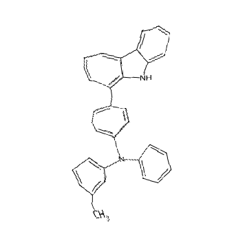 Cc1cccc(N(c2ccccc2)c2ccc(-c3cccc4c3[nH]c3ccccc34)cc2)c1